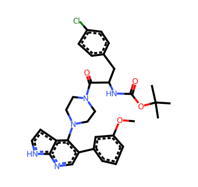 COc1cccc(-c2cnc3[nH]ccc3c2N2CCN(C(=O)C(Cc3ccc(Cl)cc3)NC(=O)OC(C)(C)C)CC2)c1